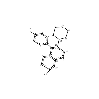 Cc1ccc2c(-c3ccc(F)cc3)c(C3CCOCC3)cnc2c1